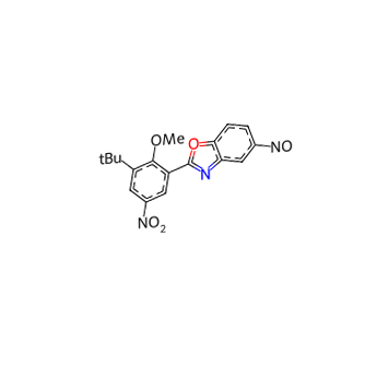 COc1c(-c2nc3cc(N=O)ccc3o2)cc([N+](=O)[O-])cc1C(C)(C)C